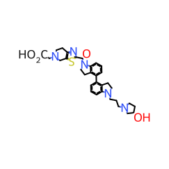 O=C(O)CN1CCc2nc(C(=O)N3CCc4c(-c5cccc6c5CCN6CCCN5CCC(O)C5)cccc43)sc2C1